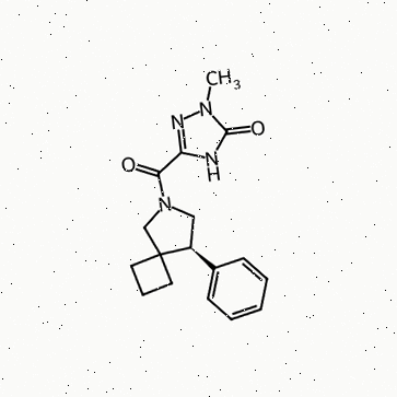 Cn1nc(C(=O)N2C[C@@H](c3ccccc3)C3(CCC3)C2)[nH]c1=O